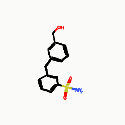 NS(=O)(=O)c1cccc(Cc2cccc(CO)c2)c1